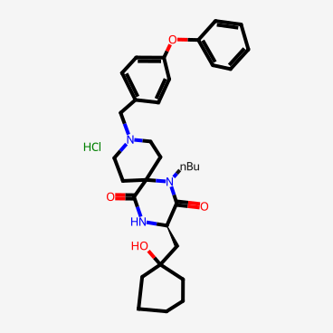 CCCCN1C(=O)[C@@H](CC2(O)CCCCC2)NC(=O)C12CCN(Cc1ccc(Oc3ccccc3)cc1)CC2.Cl